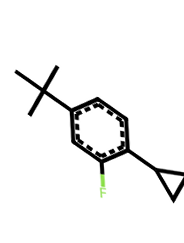 CC(C)(C)c1ccc(C2CC2)c(F)c1